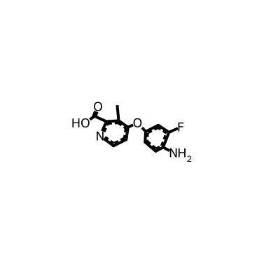 Cc1c(Oc2ccc(N)c(F)c2)ccnc1C(=O)O